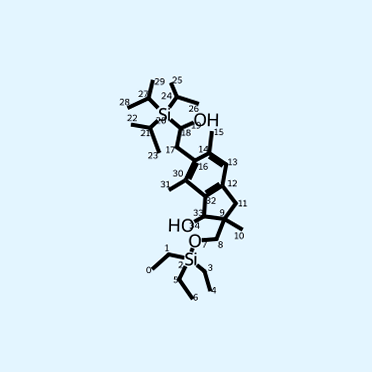 CC[Si](CC)(CC)OCC1(C)Cc2cc(C)c(CC(O)[Si](C(C)C)(C(C)C)C(C)C)c(C)c2C1O